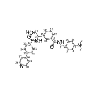 CN(C)c1ccc(CNC(=O)c2cccc(C(CO)NC(=O)c3ccc(-c4ccncc4)cc3)c2)cc1